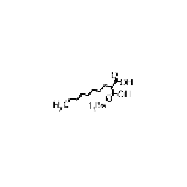 CCCCCCCCC(C(=O)O)C(=O)O.[BaH2]